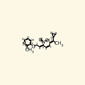 C\C(=C/C=C\C(=C\COc1cccnc1C)[N+](=O)[O-])C1CC1